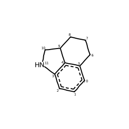 [c]1ccc2c3c1CCCC3CN2